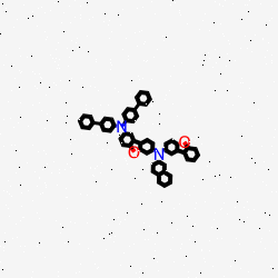 c1ccc(-c2ccc(N(c3ccc(-c4ccccc4)cc3)c3ccc4oc5cc(N(c6ccc7ccccc7c6)c6ccc7oc8ccccc8c7c6)ccc5c4c3)cc2)cc1